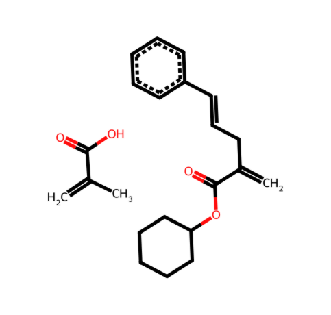 C=C(C)C(=O)O.C=C(CC=Cc1ccccc1)C(=O)OC1CCCCC1